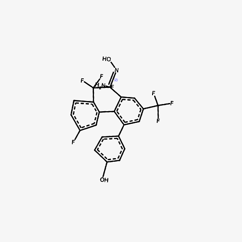 N/C(=N\O)c1cc(C(F)(F)F)cc(-c2ccc(O)cc2)c1-c1cc(F)ccc1C(F)(F)F